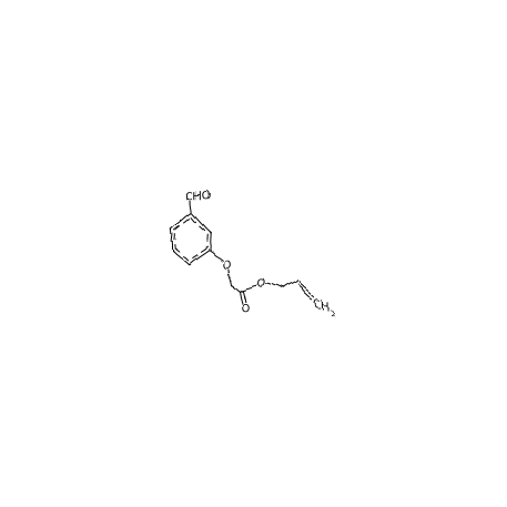 C=CCOC(=O)COc1cccc(C=O)c1